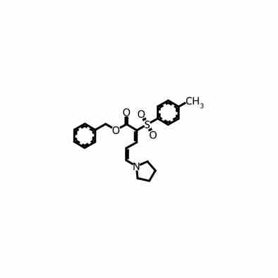 Cc1ccc(S(=O)(=O)/C(=C/C=C\N2CCCC2)C(=O)OCc2ccccc2)cc1